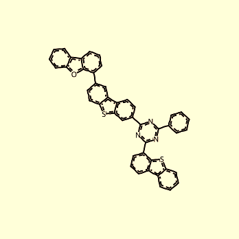 c1ccc(-c2nc(-c3ccc4c(c3)sc3ccc(-c5cccc6c5oc5ccccc56)cc34)nc(-c3cccc4c3sc3ccccc34)n2)cc1